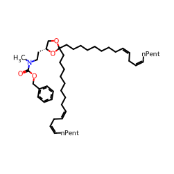 CCCCC/C=C\C/C=C\CCCCCCCCC1(CCCCCCCC/C=C\C/C=C\CCCCC)OC[C@@H](CCN(C)C(=O)OCc2ccccc2)O1